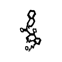 O=C(c1cnc2c([N+](=O)[O-])cccc2c1Cl)N1CCc2ccccc2C1